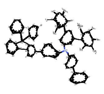 [2H]c1c([2H])c([2H])c(-c2cc(-c3c([2H])c([2H])c([2H])c([2H])c3[2H])cc(N(c3ccc(-c4ccccc4)cc3)c3ccc(-c4ccc5c(c4)C(c4ccccc4)(c4ccccc4)c4ccccc4-5)cc3)c2)c([2H])c1[2H]